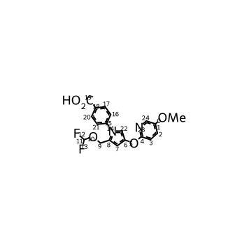 COc1ccc(Oc2cc(COC(F)F)n(-c3ccc(C(=O)O)cc3)c2)nc1